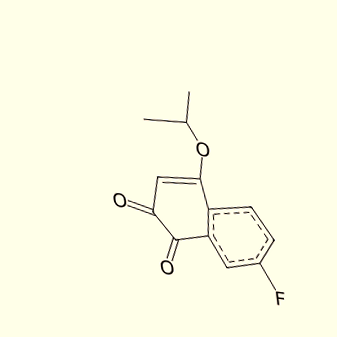 CC(C)OC1=CC(=O)C(=O)c2cc(F)ccc21